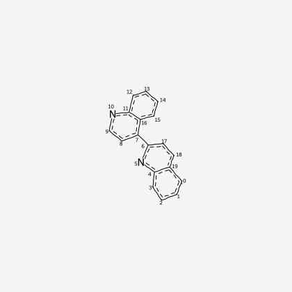 [c]1cccc2nc(-c3ccnc4ccccc34)ccc12